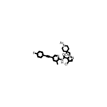 CC(=O)N1CCC(C#N)(Cn2ncc(Cl)c2C(=O)Nc2ncc(C#Cc3ccc(F)cc3)cc2C)CC1